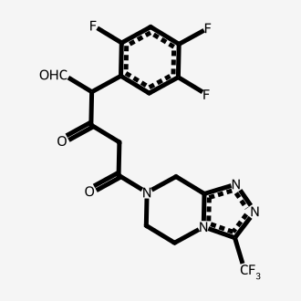 O=CC(C(=O)CC(=O)N1CCn2c(nnc2C(F)(F)F)C1)c1cc(F)c(F)cc1F